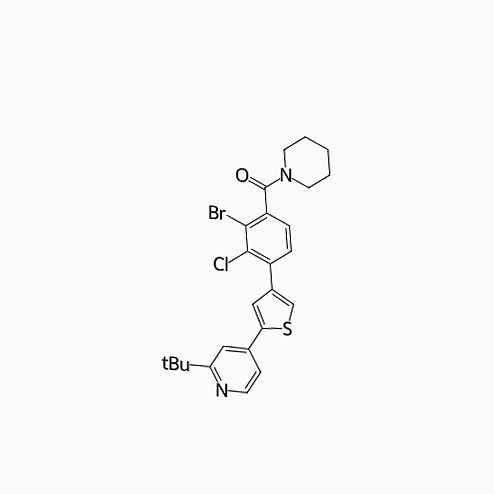 CC(C)(C)c1cc(-c2cc(-c3ccc(C(=O)N4CCCCC4)c(Br)c3Cl)cs2)ccn1